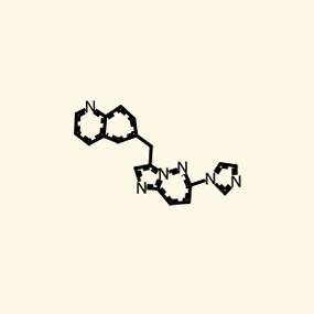 c1cnc2ccc(Cc3cnc4ccc(-n5ccnc5)nn34)cc2c1